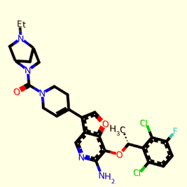 CCN1CC2CC1CN2C(=O)N1CC=C(c2coc3c(O[C@H](C)c4c(Cl)ccc(F)c4Cl)c(N)ncc23)CC1